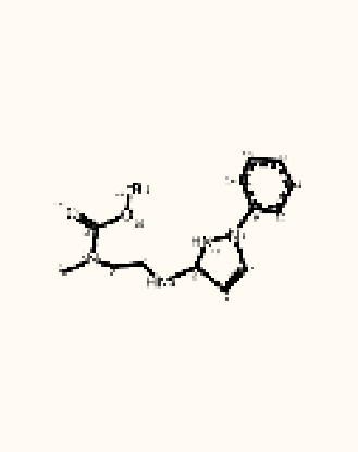 CN(CCNC1C=CN(c2ccccc2)N1)C(=O)OC(C)(C)C